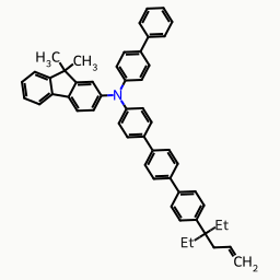 C=CCC(CC)(CC)c1ccc(-c2ccc(-c3ccc(N(c4ccc(-c5ccccc5)cc4)c4ccc5c(c4)C(C)(C)c4ccccc4-5)cc3)cc2)cc1